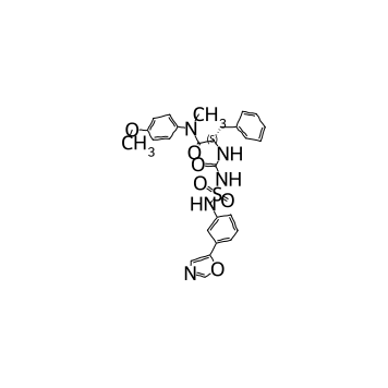 COc1ccc(N(C)C(=O)[C@H](Cc2ccccc2)NC(=O)NS(=O)(=O)Nc2cccc(-c3cnco3)c2)cc1